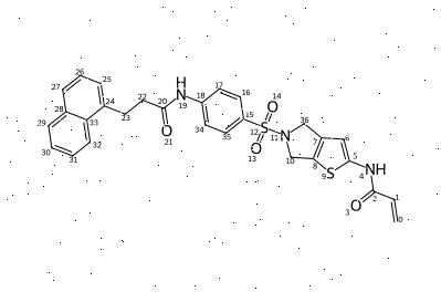 C=CC(=O)Nc1cc2c(s1)CN(S(=O)(=O)c1ccc(NC(=O)CCc3cccc4ccccc34)cc1)C2